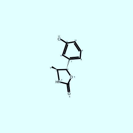 C[C@@H]1NC(=O)O[C@H]1c1cccc(Cl)c1